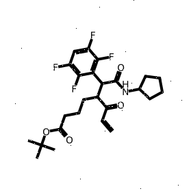 C=CC(=O)C(CCCC(=O)OC(C)(C)C)C(C(=O)NC1CCCC1)c1c(F)c(F)cc(F)c1F